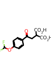 O=C(CC(C(=O)O)C(=O)O)c1ccc(OC(F)F)cc1